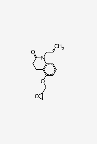 C=CCN1C(=O)CCc2c(OCC3CO3)cccc21